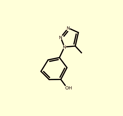 Cc1cnnn1-c1cccc(O)c1